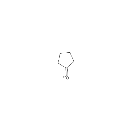 [17O]=C1CCCC1